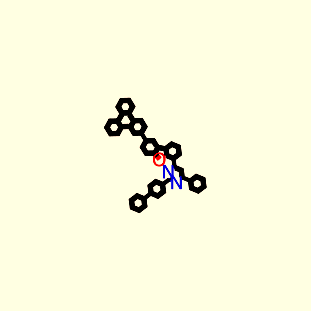 c1ccc(-c2ccc(-c3nc(-c4ccccc4)cc(-c4cccc5c4oc4ccc(-c6ccc7c8ccccc8c8ccccc8c7c6)cc45)n3)cc2)cc1